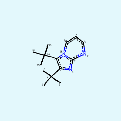 CC(C)(C)c1nc2ncccn2c1C(C)(C)C